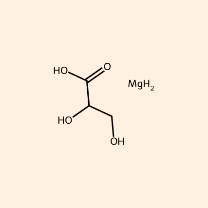 O=C(O)C(O)CO.[MgH2]